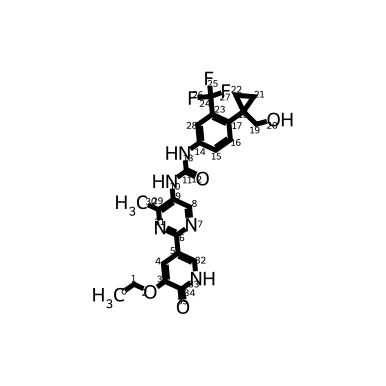 CCOc1cc(-c2ncc(NC(=O)Nc3ccc(C4(CO)CC4)c(C(F)(F)F)c3)c(C)n2)c[nH]c1=O